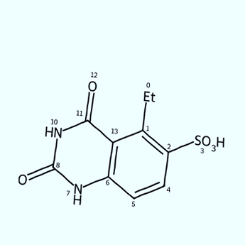 CCc1c(S(=O)(=O)O)ccc2[nH]c(=O)[nH]c(=O)c12